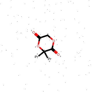 CC(C)C1(C(C)C)OC(=O)COC1=O